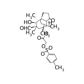 Cc1ccc(S(=O)(=O)OCC(=O)O[C@@H]2C[C@@](C)(C=O)[C@@H](O)[C@H](C)[C@]34CCC(=O)[C@H]3[C@@]2(C)[C@H](C)CC4)cc1